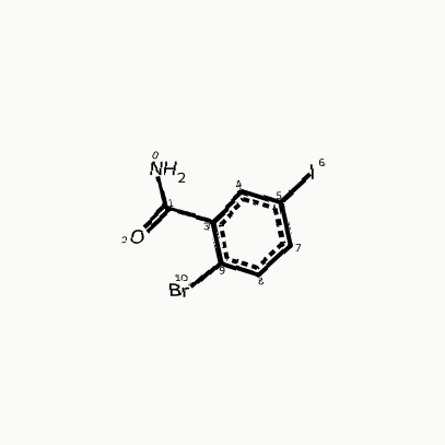 NC(=O)c1cc(I)ccc1Br